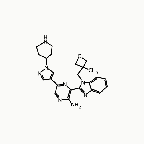 CC1(Cn2c(-c3nc(-c4cnn(C5CCNCC5)c4)cnc3N)nc3ccccc32)COC1